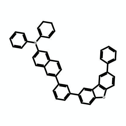 C1=CC(N(c2ccccc2)c2ccc3cc(-c4cccc(-c5ccc6oc7ccc(-c8ccccc8)cc7c6c5)c4)ccc3c2)=CCC1